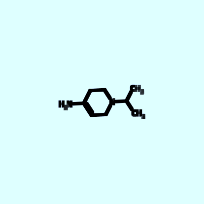 CC(C)N1CC=C(N)CC1